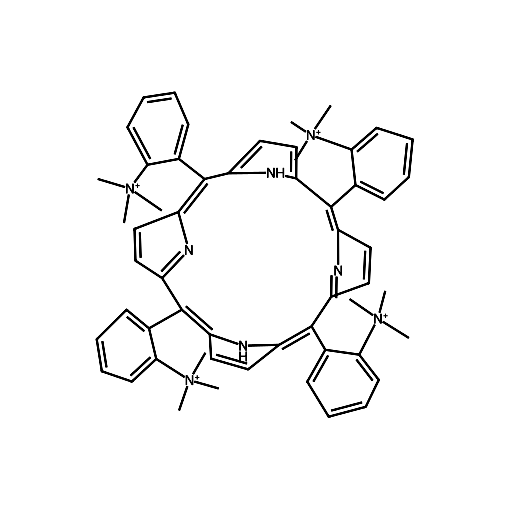 C[N+](C)(C)c1ccccc1-c1c2nc(c(-c3ccccc3[N+](C)(C)C)c3ccc([nH]3)c(-c3ccccc3[N+](C)(C)C)c3nc(c(-c4ccccc4[N+](C)(C)C)c4ccc1[nH]4)C=C3)C=C2